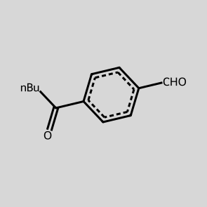 CCCCC(=O)c1ccc(C=O)cc1